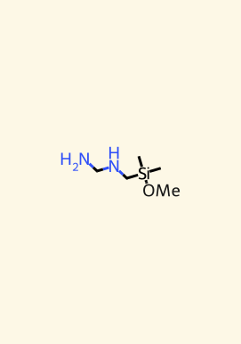 CO[Si](C)(C)CNCN